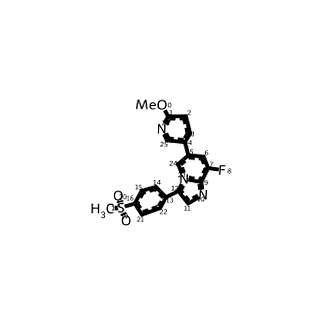 COc1ccc(-c2cc(F)c3ncc(-c4ccc(S(C)(=O)=O)cc4)n3c2)cn1